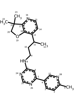 Cc1ccc(-c2cc(NCCC(C)c3ccnc4c3OCC4(C)C)ncn2)cn1